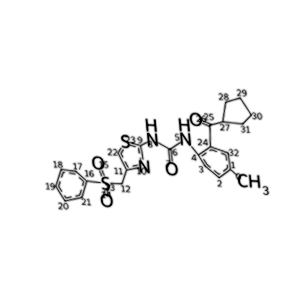 Cc1ccc(NC(=O)Nc2nc(CS(=O)(=O)c3ccccc3)cs2)c(C(=O)C2CCCC2)c1